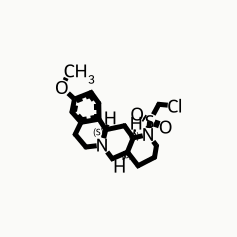 COc1ccc2c(c1)CCN1C[C@@H]3CCCN(S(=O)(=O)CCl)[C@@H]3C[C@@H]21